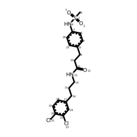 CS(=O)(=O)Nc1ccc(CCC(=O)NCCCc2ccc(Cl)c(Cl)c2)cc1